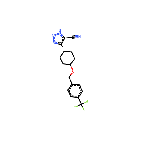 N#Cc1[nH]nnc1[C@H]1CC[C@H](OCc2ccc(C(F)(F)F)cc2)CC1